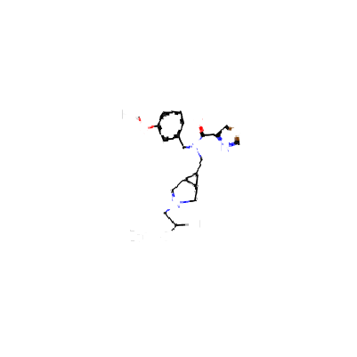 CCOC(=O)C(C)CN1CC2C(C1)C2CN(Cc1cccc(OC(F)(F)F)c1)C(=O)c1cscn1